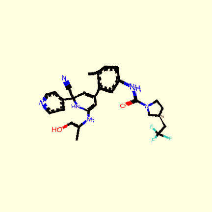 Cc1ccc(NC(=O)N2CC[C@@H](CC(F)(F)F)C2)cc1C1=CC(C#N)(c2ccncc2)NC(NC(C)CO)=C1